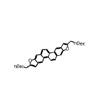 CCCCCCCCCCCc1cc2cc3c(ccc4c5cc6cc(CCCCCCCCCCC)oc6cc5ccc34)cc2o1